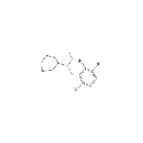 CCN(Cc1c(Br)ccc(O)c1Br)C1CCCCC1